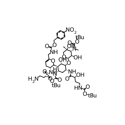 CN(C(=O)OC(C)(C)C)[C@@H]1[C@@H](O)[C@@H](O[C@@H]2[C@@H](O)[C@H](C3OC(CNC(=O)OCc4ccc([N+](=O)[O-])cc4)=CC[C@H]3NS(=O)(=O)CCN)[C@@H](NC(=O)OC(C)(C)C)C[C@H]2NC(=O)[C@@H](O)CCNC(=O)OC(C)(C)C)OC[C@]1(C)O